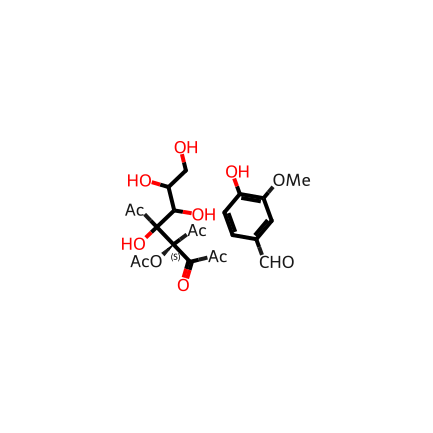 CC(=O)O[C@@](C(C)=O)(C(=O)C(C)=O)C(O)(C(C)=O)C(O)C(O)CO.COc1cc(C=O)ccc1O